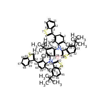 Cc1ccc(-c2csc3ccccc23)c(C)c1N1c2cc(C(C)(C)C)cc3c2B(c2sc4ccc(C(C)(C)C)cc4c21)c1sc2ccc(C(C)(C)C)cc2c1N3c1c(C)ccc(-c2csc3ccccc23)c1C